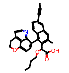 CC#Cc1ccc2c(-c3ccc4c5c(ccnc35)CCO4)c(C(OCCCC)C(=O)O)c(C)cc2c1